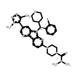 Cc1nnn(C)c1-c1cnc2c3ccc(N4CCN(C(=O)N(C)C)CC4)nc3n([C@H](c3ccccc3F)C3CCOCC3)c2c1